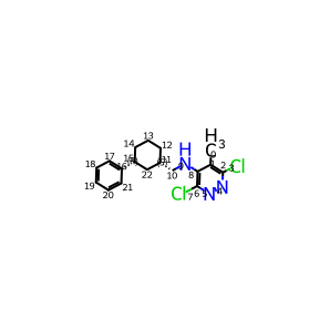 Cc1c(Cl)nnc(Cl)c1NC[C@H]1CCC[C@@H](c2ccccc2)C1